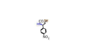 O=C(O)NC(CS)c1ccc([N+](=O)[O-])cc1